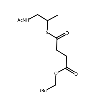 CC(=O)NCC(C)SC(=O)CCC(=O)OCC(C)(C)C